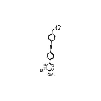 CC[C@H](NC(=O)c1ccc(C#Cc2ccc(CN3CCC3)cc2)cc1)C(=O)OC